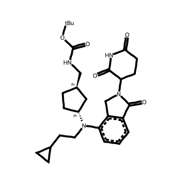 CC(C)(C)OC(=O)NC[C@@H]1CC[C@@H](N(CCC2CC2)c2cccc3c2CN(C2CCC(=O)NC2=O)C3=O)C1